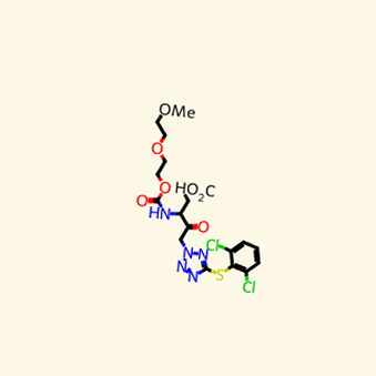 COCCOCCOC(=O)NC(CC(=O)O)C(=O)Cn1nnc(Sc2c(Cl)cccc2Cl)n1